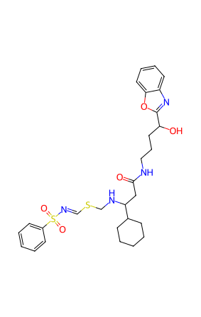 O=C(CC(NCSC=NS(=O)(=O)c1ccccc1)C1CCCCC1)NCCCC(O)c1nc2ccccc2o1